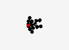 c1ccc(-c2cccc(-c3cc(-c4cc([Si](c5ccccc5)(c5ccccc5)c5cccc(-c6ccccc6)c5)cc([Si](c5ccccc5)(c5ccccc5)c5cccc(-c6ccccc6)c5)c4)nc(-c4cccc(-c5ccccc5)c4)n3)c2)cc1